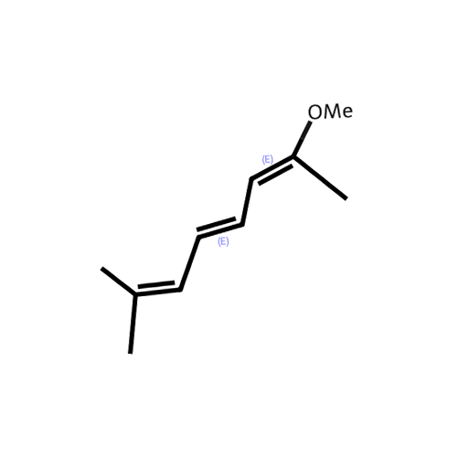 CO/C(C)=C/C=C/C=C(C)C